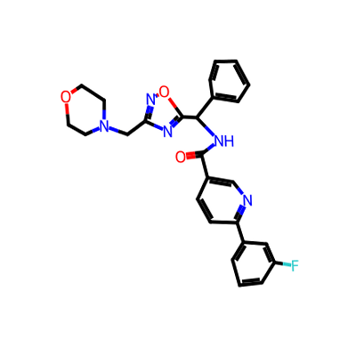 O=C(NC(c1ccccc1)c1nc(CN2CCOCC2)no1)c1ccc(-c2cccc(F)c2)nc1